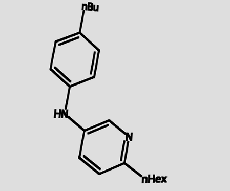 CCCCCCc1ccc(Nc2ccc(CCCC)cc2)cn1